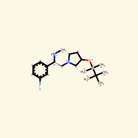 CN[C@H](CN1CCC(O[Si](C)(C)C(C)(C)C)C1)c1cccc(F)c1